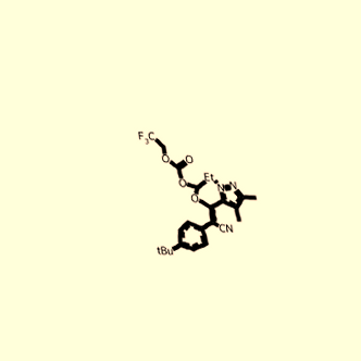 CCn1nc(C)c(C)c1/C(OC(C)OC(=O)OCC(F)(F)F)=C(\C#N)c1ccc(C(C)(C)C)cc1